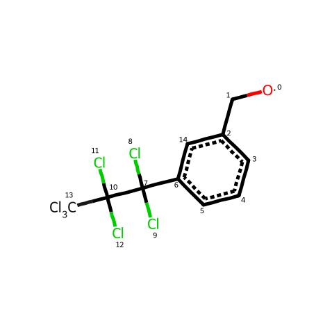 [O]Cc1cccc(C(Cl)(Cl)C(Cl)(Cl)C(Cl)(Cl)Cl)c1